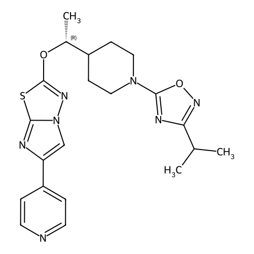 CC(C)c1noc(N2CCC([C@@H](C)Oc3nn4cc(-c5ccncc5)nc4s3)CC2)n1